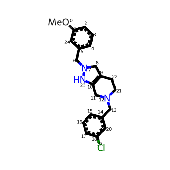 COc1cccc(CN2CC3=C(CN(Cc4cccc(Cl)c4)CC3)N2)c1